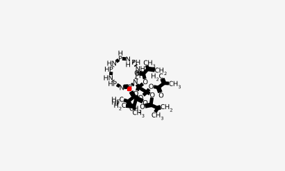 C=C(C)C(=O)OC(OC(=O)C(=C)C)(OC(=O)C(=C)C)C(OC(=O)C(=C)C)(OC(=O)C(=C)C)n1pn[pH][nH][pH][nH][pH][nH][pH][nH][pH]1.F